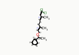 C/C(C=C(Cl)Cl)=C\CC/C(C)=C/COC(C)c1ccccc1